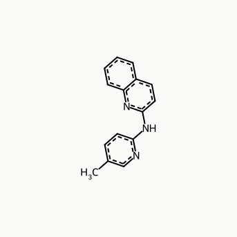 Cc1ccc(Nc2ccc3ccccc3n2)nc1